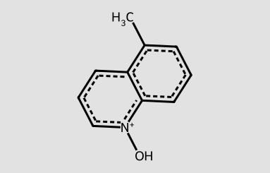 Cc1cccc2c1ccc[n+]2O